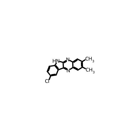 Cc1cc2nc3[nH]c4ccc(Cl)cc4c3nc2cc1C